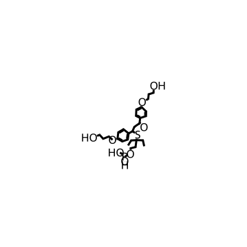 CCC(CC)(CCO[PH](=O)O)SC(CC(=O)c1ccc(OCCCO)cc1)c1ccc(OCCCO)cc1